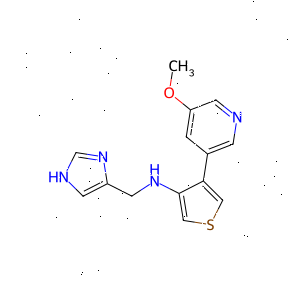 COc1cncc(-c2cscc2NCc2c[nH]cn2)c1